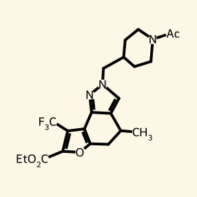 CCOC(=O)c1oc2c(c1C(F)(F)F)-c1nn(CC3CCN(C(C)=O)CC3)cc1C(C)C2